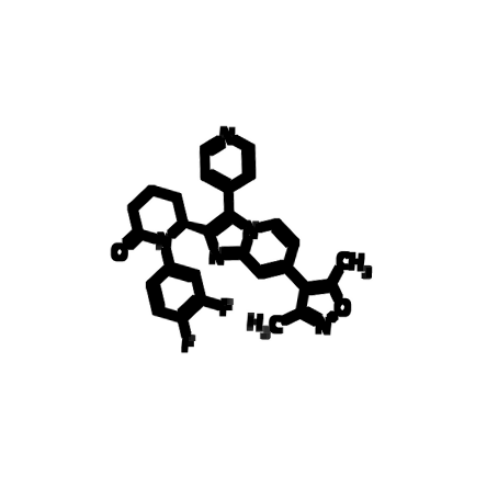 Cc1noc(C)c1-c1ccn2c(-c3ccncc3)c([C@@H]3CCCC(=O)N3c3ccc(F)c(F)c3)nc2c1